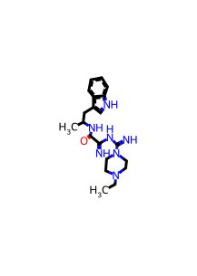 CCN1CCN(C(=N)NC(=N)C(=O)NC(C)Cc2c[nH]c3ccccc23)CC1